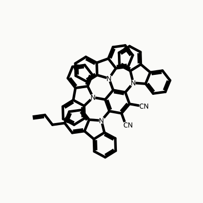 C=CCc1ccc2c(c1)c1ccccc1n2-c1c(C#N)c(C#N)c(-n2c3ccccc3c3ccccc32)c(-n2c3ccccc3c3ccccc32)c1-n1c2ccccc2c2ccccc21